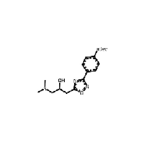 CCCCCCCCCCc1ccc(-c2noc(CC(O)CN(C)C)n2)cc1